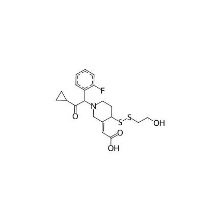 O=C(O)/C=C1/CN(C(C(=O)C2CC2)c2ccccc2F)CCC1SSCCO